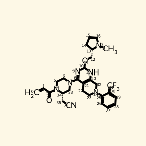 C=CC(=O)N1CCN(C2=NC(OC[C@@H]3CCCN3C)NC3=C2CCN(c2ccccc2C(F)(F)F)C3)C[C@@H]1CC#N